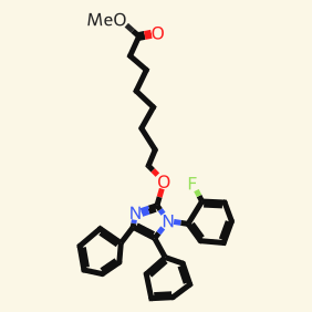 COC(=O)CCCCCCCOc1nc(-c2ccccc2)c(-c2ccccc2)n1-c1ccccc1F